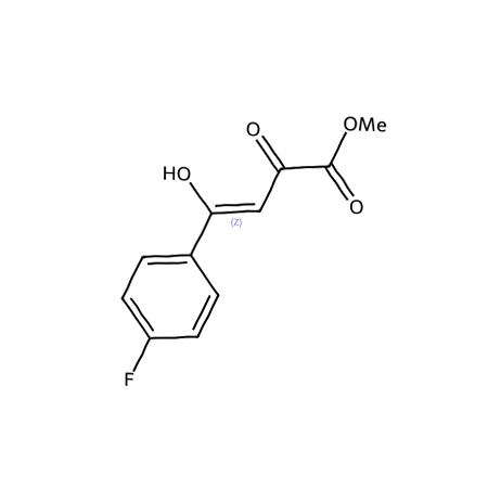 COC(=O)C(=O)/C=C(\O)c1ccc(F)cc1